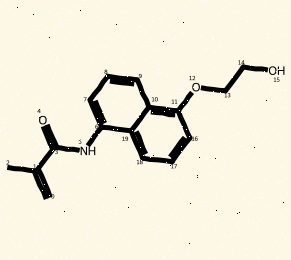 C=C(C)C(=O)Nc1cccc2c(OCCO)cccc12